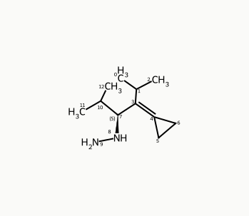 CC(C)C(=C1CC1)[C@@H](NN)C(C)C